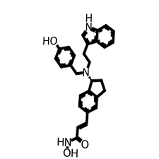 O=C(/C=C/c1ccc2c(c1)CC[C@@H]2N(CCc1c[nH]c2ccccc12)Cc1ccc(O)cc1)NO